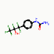 NC(=O)Nc1ccc(C(F)(F)C(O)(F)C(F)(F)F)cc1